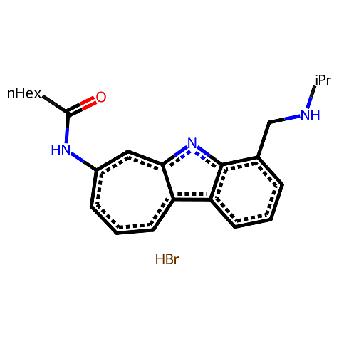 Br.CCCCCCC(=O)Nc1cccc2c3cccc(CNC(C)C)c3nc-2c1